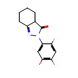 O=C1C2CCCCC2=NN1c1cc(O)c(Cl)cc1F